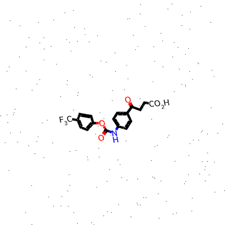 O=C(O)CCC(=O)c1ccc(NC(=O)Oc2ccc(C(F)(F)F)cc2)cc1